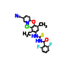 Cc1cc(NC(=S)NC(=O)c2c(F)cccc2F)c(C)c(Cl)c1Oc1ccc(C#N)cn1